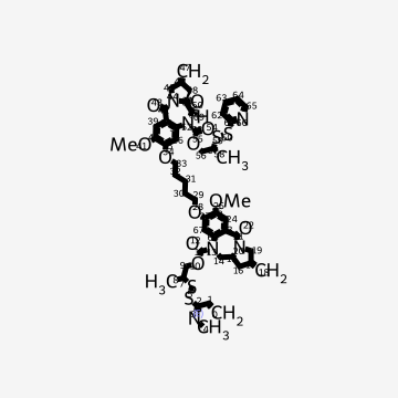 C=C/C(=N\C)SSC(C)COC(=O)N1CC2CC(=C)CN2C(=O)c2cc(OC)c(OCCCCCOc3cc4c(cc3OC)C(=O)N3CC(=C)C[C@]35O[C@@H]5N4C(=O)OCC(C)SSc3ccccn3)cc21